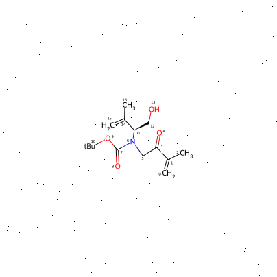 C=C(C)C(=O)CN(C(=O)OC(C)(C)C)[C@H](CO)C(=C)C